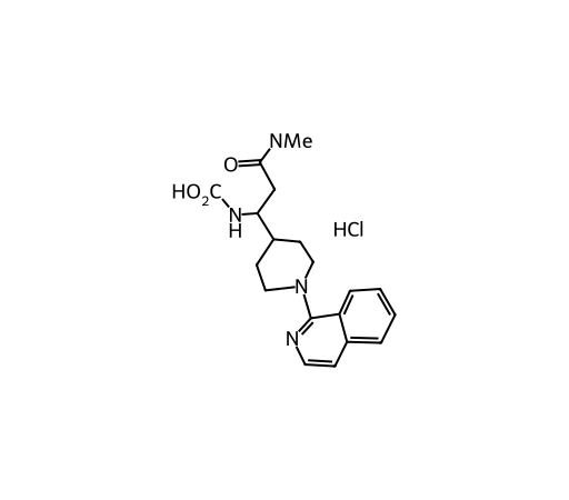 CNC(=O)CC(NC(=O)O)C1CCN(c2nccc3ccccc23)CC1.Cl